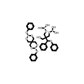 OCC(COP(O)O)(COP(O)O)C(Oc1ccccc1)c1ccccc1.c1ccc(OP2OCC3(CO2)COP(Oc2ccccc2)OC3)cc1